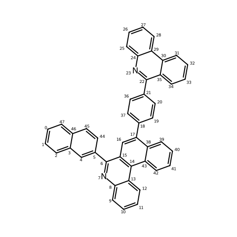 c1ccc2cc(-c3nc4ccccc4c4c3cc(-c3ccc(-c5nc6ccccc6c6ccccc56)cc3)c3ccccc34)ccc2c1